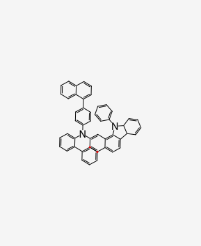 C1=CC2c3ccc4ccc(N(c5ccc(-c6cccc7ccccc67)cc5)c5ccccc5-c5ccccc5)cc4c3N(c3ccccc3)C2C=C1